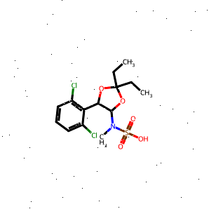 CCC1(CC)OC(c2c(Cl)cccc2Cl)C(N(C)S(=O)(=O)O)O1